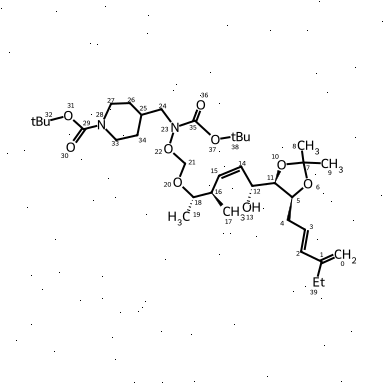 C=C(/C=C/C[C@@H]1OC(C)(C)O[C@@H]1[C@H](O)/C=C\[C@@H](C)[C@H](C)OCON(CC1CCN(C(=O)OC(C)(C)C)CC1)C(=O)OC(C)(C)C)CC